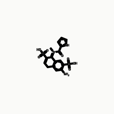 C[N+](C(=O)c1ccc[nH]1)=C1C(S(=O)(=O)O)=CCc2cc(N)c(S(=O)(=O)O)cc21